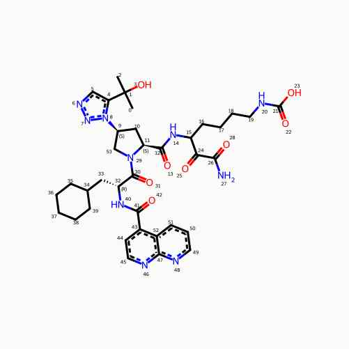 CC(C)(O)c1cnnn1[C@H]1C[C@@H](C(=O)NC(CCCCNC(=O)O)C(=O)C(N)=O)N(C(=O)[C@@H](CC2CCCCC2)NC(=O)c2ccnc3ncccc23)C1